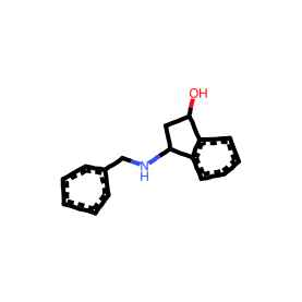 OC1CC(NCc2ccccc2)c2ccccc21